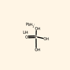 O=P(O)(O)O.[LiH].[PbH2]